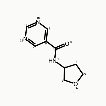 O=C(NC1CCOC1)c1cncnc1